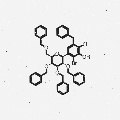 Oc1c(Cl)c(Cc2ccccc2)cc([C@@H]2O[C@H](COCc3ccccc3)[C@@H](OCc3ccccc3)[C@H](OCc3ccccc3)[C@H]2OCc2ccccc2)c1Br